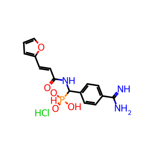 Cl.N=C(N)c1ccc(C(NC(=O)C=Cc2ccco2)P(=O)(O)O)cc1